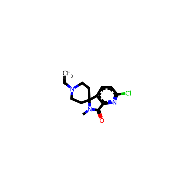 CN1C(=O)c2nc(Cl)ccc2C12CCN(CC(F)(F)F)CC2